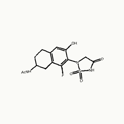 CC(=O)NC1CCc2cc(O)c(N3CC(=O)NS3(=O)=O)c(F)c2C1